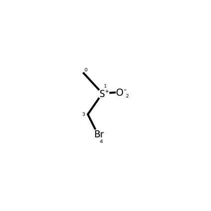 C[S+]([O-])CBr